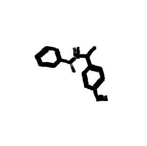 CC(N[C@H](C)c1ccccc1)c1ccc(C(C)(C)C)cc1